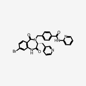 O=C(Nc1ccccn1)c1ccc(CN2C(=O)c3ccc(Br)cc3NC(=O)[C@H]2Cc2cccnc2)cc1